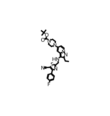 CCc1nn2ccc(N3CCN(C(=O)OC(C)(C)C)CC3)cc2c1NCc1nc(-c2ccc(F)cc2)c(C#N)s1